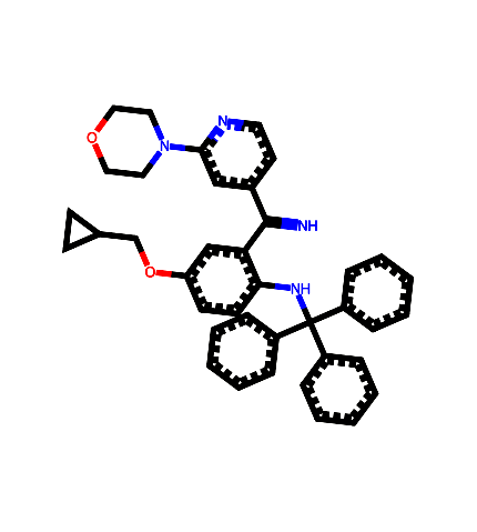 N=C(c1ccnc(N2CCOCC2)c1)c1cc(OCC2CC2)ccc1NC(c1ccccc1)(c1ccccc1)c1ccccc1